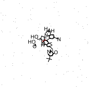 CC(C)(C)c1cnn(Cc2cc3nccc(-c4cc(C#N)cc5c4N([C@H]4CN[C@@H](CO)C4)C[C@H]4C[C@@H]54)c3s2)c(=O)c1.O=CO